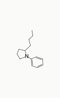 CCCCC1CCCN1c1ccccc1